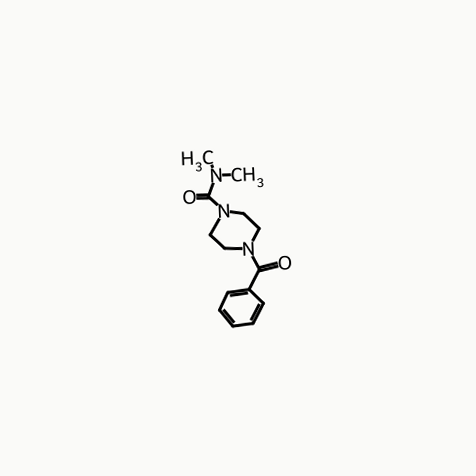 CN(C)C(=O)N1CCN(C(=O)c2ccccc2)CC1